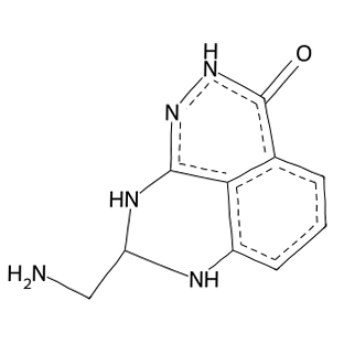 NCC1Nc2cccc3c(=O)[nH]nc(c23)N1